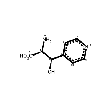 N[C@H](C(=O)O)[C@H](O)c1ccncc1